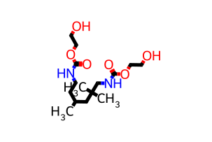 CC(CCNC(=O)OCCO)CC(C)(C)CNC(=O)OCCO